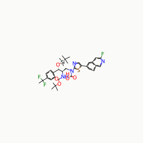 CC(C)(C)OC(=O)N[C@H](CN(C(=O)O)c1ncc(-c2ccc3cnc(F)cc3c2)s1)[C@@H](O[Si](C)(C)C(C)(C)C)c1ccc(C(C)(F)F)cc1